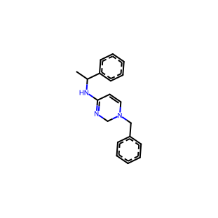 CC(NC1=NCN(Cc2ccccc2)C=C1)c1ccccc1